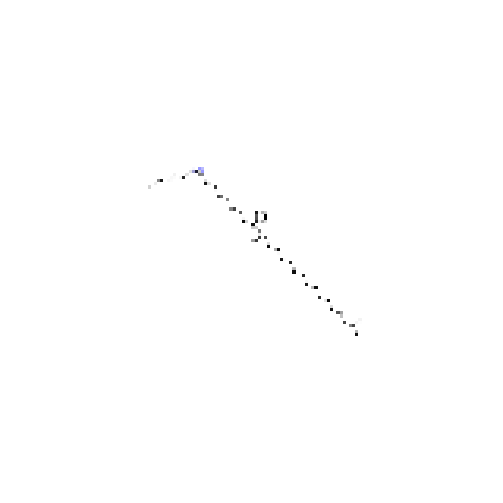 CCCCCC/C=C\CCCCCCCC(=O)OCCCCCCCCCCCCCCC(C)C